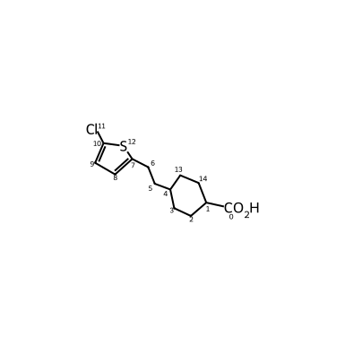 O=C(O)C1CCC(CCc2ccc(Cl)s2)CC1